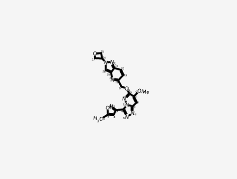 COc1cc2nnc(-c3cc(C)on3)n2nc1OCc1ccc2nn(C3COC3)cc2n1